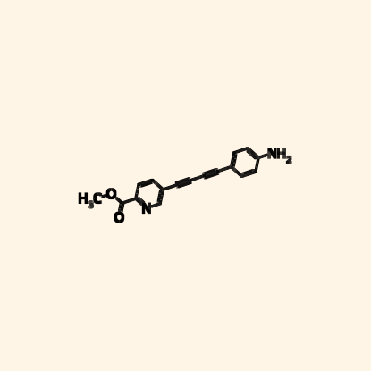 COC(=O)c1ccc(C#CC#Cc2ccc(N)cc2)cn1